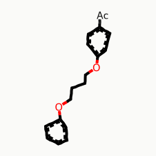 CC(=O)c1ccc(OCCCCOc2ccccc2)cc1